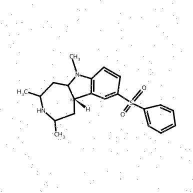 CC1CC2[C@@H](CC(C)N1)c1cc(S(=O)(=O)c3ccccc3)ccc1N2C